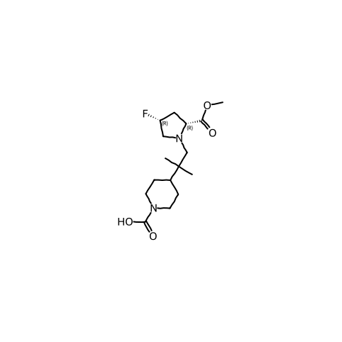 COC(=O)[C@H]1C[C@@H](F)CN1CC(C)(C)C1CCN(C(=O)O)CC1